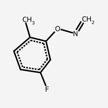 C=NOc1cc(F)ccc1C